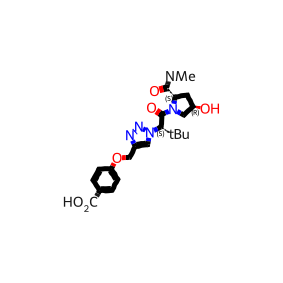 CNC(=O)[C@@H]1C[C@@H](O)CN1C(=O)[C@@H](n1cc(COc2ccc(C(=O)O)cc2)nn1)C(C)(C)C